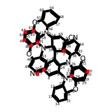 N#Cc1cc(-c2cc(C#N)cc(N3c4ccccc4Oc4ccccc43)c2N2c3ccccc3Oc3ccccc32)c(N2c3ccccc3Oc3ccccc32)c(N2c3ccccc3Oc3ccccc32)c1